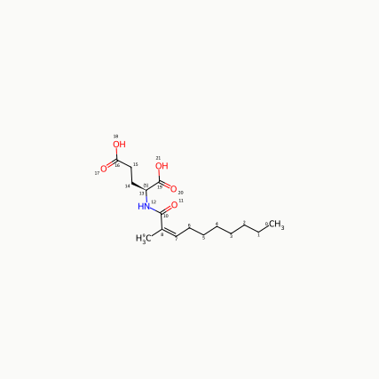 CCCCCCCC=C(C)C(=O)N[C@@H](CCC(=O)O)C(=O)O